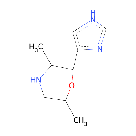 CC1CNC(C)C(c2c[nH]cn2)O1